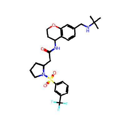 CC(C)(C)NCc1ccc2c(c1)OCCC2NC(=O)CC1CCCN1S(=O)(=O)c1cccc(C(F)(F)F)c1